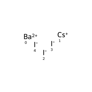 [Ba+2].[Cs+].[I-].[I-].[I-]